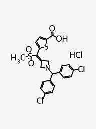 CS(=O)(=O)C(=C1CN(C(c2ccc(Cl)cc2)c2ccc(Cl)cc2)C1)c1ccc(C(=O)O)s1.Cl